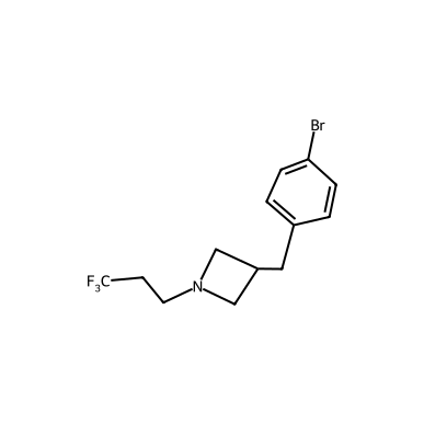 FC(F)(F)CCN1CC(Cc2ccc(Br)cc2)C1